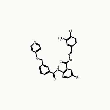 O=C(Nc1ccc(Br)cc1C(=O)NN=Cc1ccc(Cl)c(C(F)(F)F)c1)c1cccc(CSc2ccncc2)c1